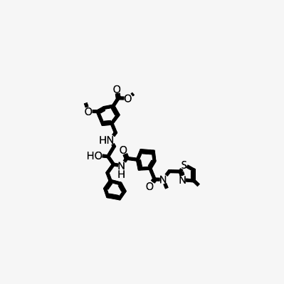 COC(=O)c1cc(CNCC(O)C(Cc2ccccc2)NC(=O)c2cccc(C(=O)N(C)Cc3nc(C)cs3)c2)cc(OC)c1